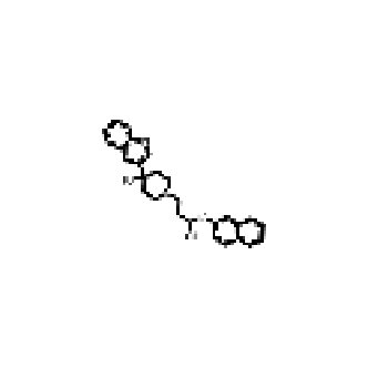 OC(CCN1CCC(O)(c2cnc3ccccc3c2)CC1)Oc1ccc2ccccc2c1